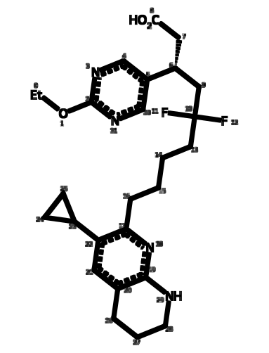 CCOc1ncc([C@H](CC(=O)O)CC(F)(F)CCCCc2nc3c(cc2C2CC2)CCCN3)cn1